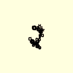 CCN(Cc1cc(C(=O)OCCOC(=O)Cc2c(C)n(C(=O)c3ccc(Cl)cc3)c3ccc(OC)cc23)cc(Br)c1N)C1CCCCCC1